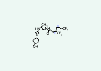 C=C(CNC(=O)C/C=C(\C=C/CC(F)(F)F)C(F)(F)F)NC1CN([C@H]2CC[C@H](O)CC2)C1